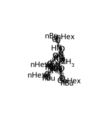 CCCCCCC(CCCC)C(=O)OCCCCNC(=O)CCN(CCCN(C)CCCN(CCC(=O)NCCCCOC(=O)C(CCCC)CCCCCC)CCC(=O)NCCCCOC(=O)C(CCCC)CCCCCC)CCC(=O)NCCCCOC(=O)C(CCCC)CCCCCC